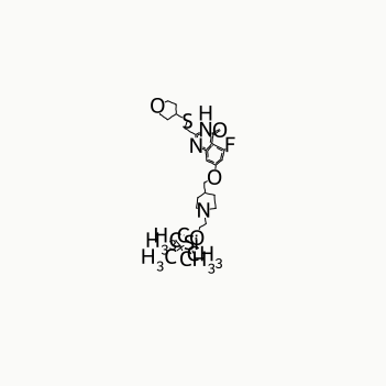 CC(C)(C)[Si](C)(C)OCCN1CCC(COc2cc(F)c3c(=O)[nH]c(CSC4CCOCC4)nc3c2)CC1